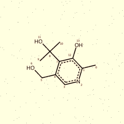 Cc1ncc(CO)c(C(C)(C)O)c1O